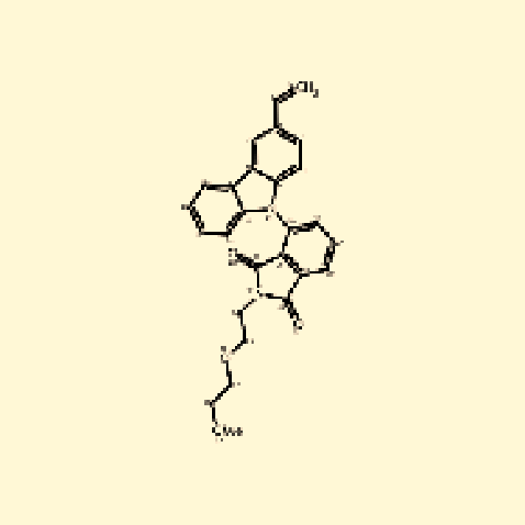 C=Cc1ccc2c(c1)c1ccccc1n2-c1cccc2c1C(=O)N(CCOCCOC)C2=O